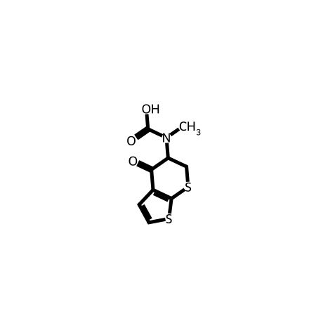 CN(C(=O)O)C1CSc2sccc2C1=O